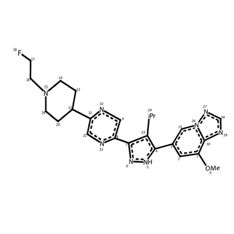 COc1cc(-c2[nH]nc(-c3cnc(C4CCN(CCF)CC4)cn3)c2C(C)C)cn2ncnc12